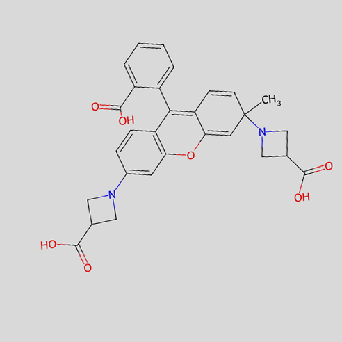 CC1(N2CC(C(=O)O)C2)C=CC2=C(c3ccccc3C(=O)O)c3ccc(N4CC(C(=O)O)C4)cc3OC2=C1